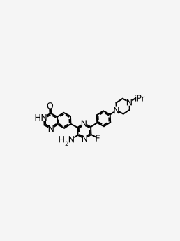 CC(C)N1CCN(c2ccc(-c3nc(-c4ccc5c(=O)[nH]cnc5c4)c(N)nc3F)cc2)CC1